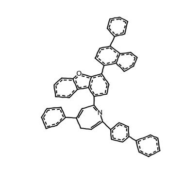 C1=C(c2ccccc2)CC=C(c2ccc(-c3ccccc3)cc2)N=C1c1ccc(-c2ccc(-c3ccccc3)c3ccccc23)c2oc3ccccc3c12